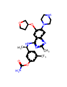 Cc1nc(N[C@H](C)c2cc(OC(N)=O)cc(C(F)(F)F)c2)c2cc(O[C@H]3CCOC3)c(N3CCNCC3)cc2n1